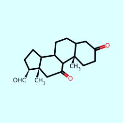 C[C@]12CCC(=O)CC1CCC1C2C(=O)C[C@@]2(C)C1CC[C@@H]2C=O